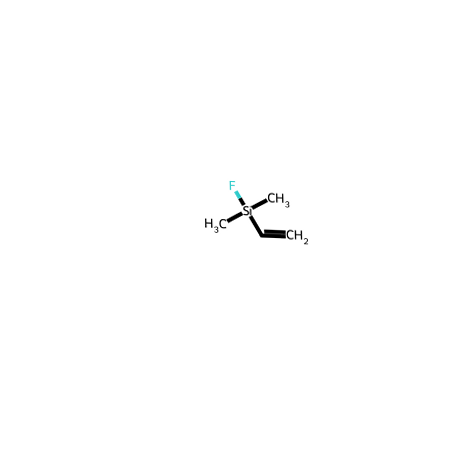 C=C[Si](C)(C)F